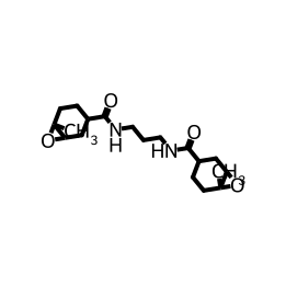 CC12CCC(C(=O)NCCCNC(=O)C3CCC4(C)OC4C3)CC1O2